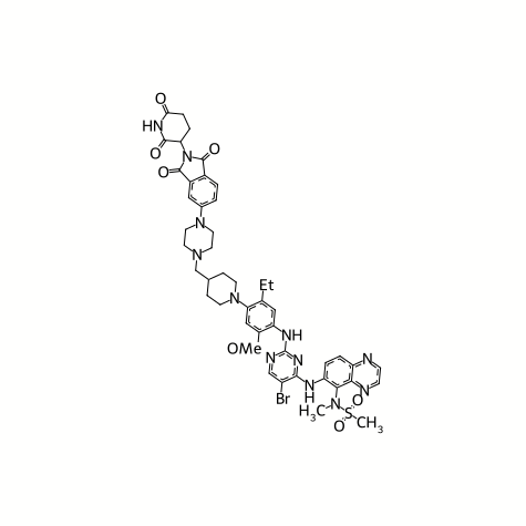 CCc1cc(Nc2ncc(Br)c(Nc3ccc4nccnc4c3N(C)S(C)(=O)=O)n2)c(OC)cc1N1CCC(CN2CCN(c3ccc4c(c3)C(=O)N(C3CCC(=O)NC3=O)C4=O)CC2)CC1